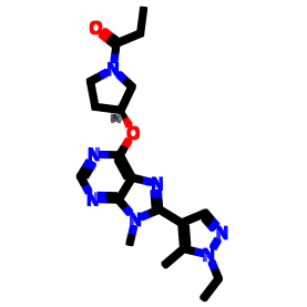 CCC(=O)N1CC[C@H](Oc2ncnc3c2nc(-c2cnn(CC)c2C)n3C)C1